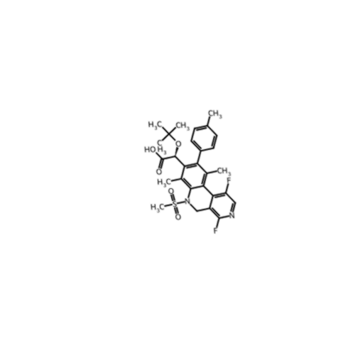 Cc1ccc(-c2c(C)c3c(c(C)c2[C@H](OC(C)(C)C)C(=O)O)N(S(C)(=O)=O)Cc2c(F)ncc(F)c2-3)cc1